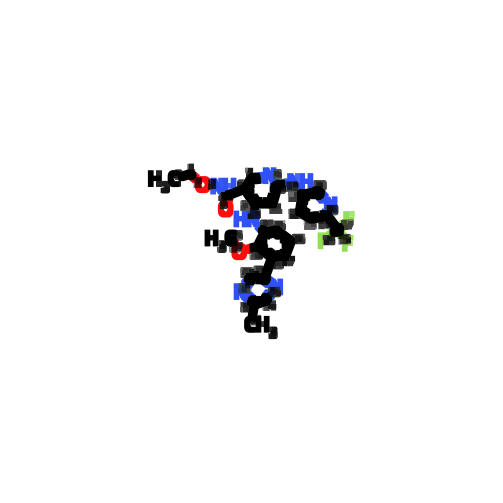 CCONC(=O)c1cnc(Nc2ccc(C(F)(F)F)nc2)cc1Nc1cccc(-c2cnc(C)cn2)c1OC